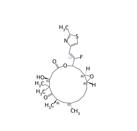 Cc1nc(/C=C(\F)C2C[C@H]3O[C@@H]3CCC[C@H](C)C[C@@H](C)C(=O)C(C)(C)[C@@H](O)CC(=O)O2)cs1